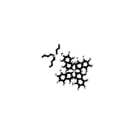 CCCC[NH+](CCCC)CCCC.Fc1c(F)c(F)c2c(F)c([B-](c3c(F)c(F)c4c(F)c(F)c(F)c(F)c4c3F)(c3c(F)c(F)c4c(F)c(F)c(F)c(F)c4c3F)c3c(F)c(F)c4c(F)c(F)c(F)c(F)c4c3F)c(F)c(F)c2c1F